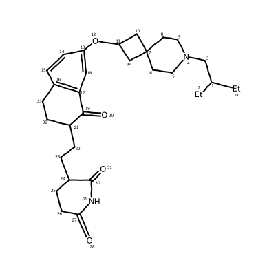 CCC(CC)CN1CCC2(CC1)CC(Oc1ccc3c(c1)C(=O)C(CCC1CCC(=O)NC1=O)CC3)C2